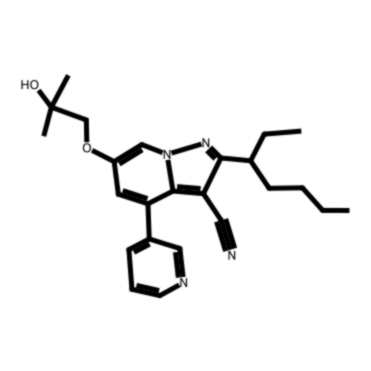 CCCCC(CC)c1nn2cc(OCC(C)(C)O)cc(-c3cccnc3)c2c1C#N